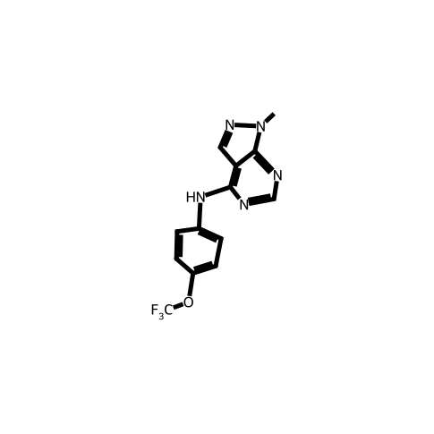 Cn1ncc2c(Nc3ccc(OC(F)(F)F)cc3)ncnc21